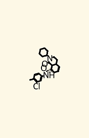 Cc1ccc(NC(=O)[C@H]2CC=CC3CCN(C4CCCCC4)C(=O)C32)cc1Cl